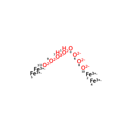 O.O.[Fe+3].[Fe+3].[Fe+3].[Fe+3].[O-2].[O-2].[O-2].[O-2].[O-2].[O-2]